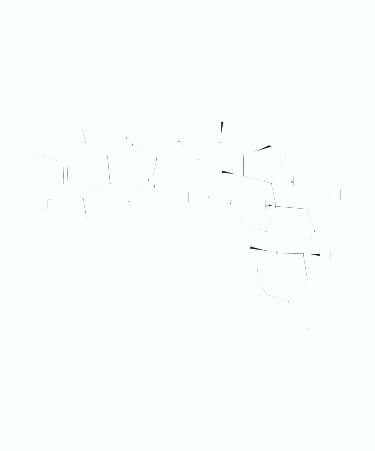 C[C@H](CCc1ncc2c(F)c(F)c(F)c(F)c2n1)[C@H]1CC[C@H]2[C@H]3C(C[C@H](O)[C@]12C)[C@@]1(C)CC[C@@H](O)C[C@H]1C[C@H]3O